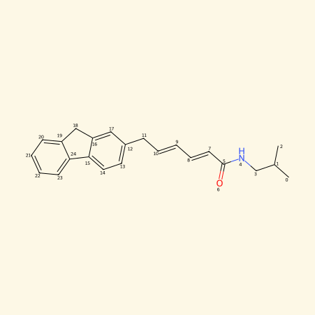 CC(C)CNC(=O)/C=C/C=C/Cc1ccc2c(c1)Cc1ccccc1-2